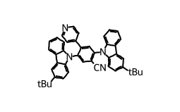 CC(C)(C)c1ccc2c(c1)c1ccccc1n2-c1cc(-c2ccncc2)c(-n2c3ccccc3c3cc(C(C)(C)C)ccc32)cc1C#N